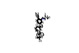 CN(C)/C=C/c1cc(OC2CCCN(C(=O)OC(C)(C)C)C2)ccc1C#N